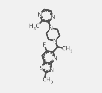 Cc1nc2nc(C(C)N3CCN(c4nccnc4C)CC3)c(F)cc2s1